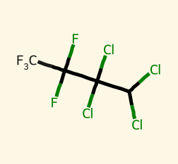 FC(F)(F)C(F)(F)C(Cl)(Cl)C(Cl)Cl